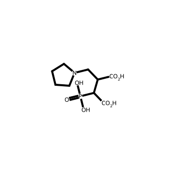 O=C(O)C(CN1CCCC1)C(C(=O)O)P(=O)(O)O